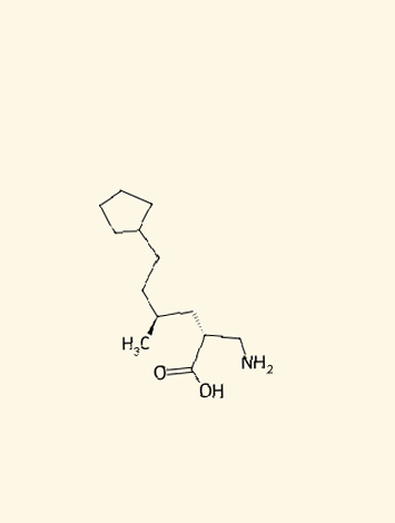 C[C@@H](CCC1CCCC1)C[C@H](CN)C(=O)O